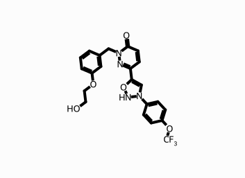 O=c1ccc(C2=CN(c3ccc(OC(F)(F)F)cc3)NO2)nn1Cc1cccc(OCCO)c1